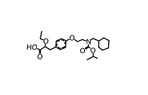 CCOC(Cc1ccc(OCCN(CC2CCCCC2)C(=O)OC(C)C)cc1)C(=O)O